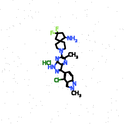 Cc1nc2c(-c3ccc4nn(C)cc4c3Cl)n[nH]c2nc1N1CCC2(CC1)CC(F)(F)C[C@H]2N.Cl